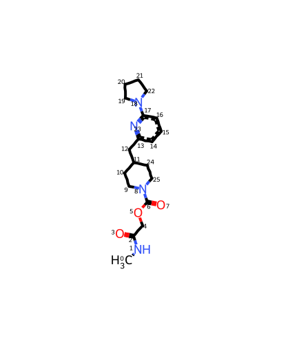 CNC(=O)COC(=O)N1CCC(Cc2cccc(N3CCCC3)n2)CC1